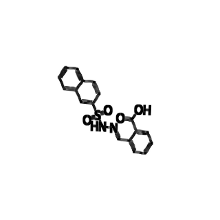 O=C(O)c1ccccc1C=NNS(=O)(=O)c1ccc2ccccc2c1